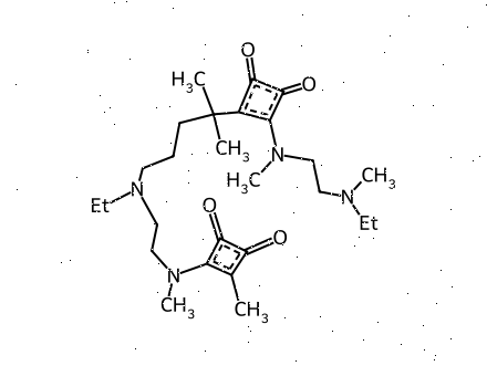 CCN(C)CCN(C)c1c(C(C)(C)CCCN(CC)CCN(C)c2c(C)c(=O)c2=O)c(=O)c1=O